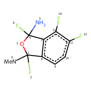 CNC1(F)OC(N)(F)c2c1ccc(F)c2F